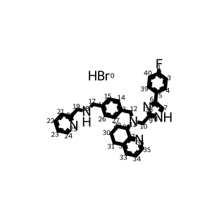 Br.Fc1ccc(-c2c[nH]c(CN(Cc3ccc(CNCc4ccccn4)cc3)C3CCCc4cccnc43)n2)cc1